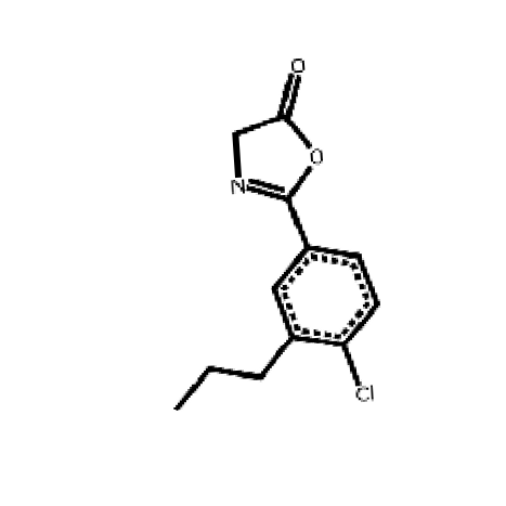 CCCc1cc(C2=NCC(=O)O2)ccc1Cl